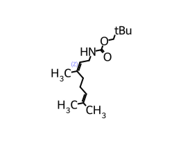 CC(C)=CCC/C(C)=C\CNC(=O)OCC(C)(C)C